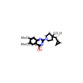 COc1cc2nc(N3CCC(CC4CC4)(C(=O)O)CC3)nc(O)c2cc1OC